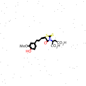 COc1cc(C=CC=C2SC(=S)N(C(CC(=O)O)C(=O)O)C2=O)ccc1O